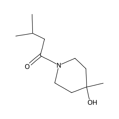 CC(C)CC(=O)N1CCC(C)(O)CC1